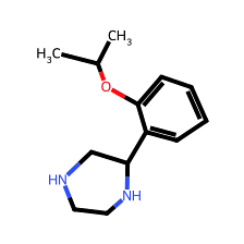 CC(C)Oc1ccccc1C1CNCCN1